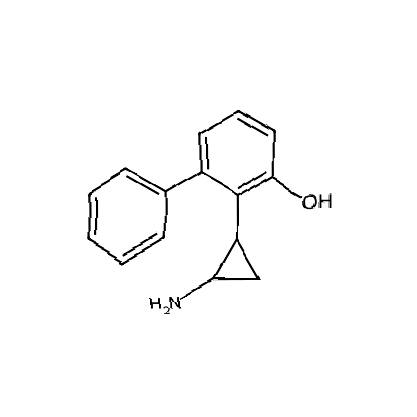 NC1CC1c1c(O)cccc1-c1ccccc1